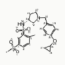 Cc1ccc(S(C)(=O)=O)cc1S(=O)(=O)N[C@@H]1CCN(Cc2ccc(OC3CC3)cc2)C1